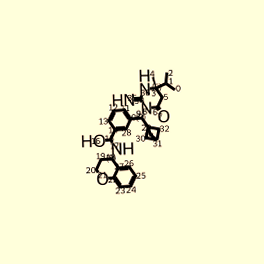 CC(C)[C@]1(C)CC(=O)N([C@@H](c2cccc(C(O)N[C@H]3CCOc4ccccc43)c2)C23CC(C2)C3)C(=N)N1